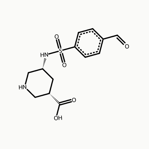 O=Cc1ccc(S(=O)(=O)N[C@H]2CNC[C@@H](C(=O)O)C2)cc1